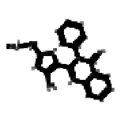 CCOC(=O)Nc1nc(C)c(-c2nc3ccccc3c(=O)n2-c2ccccc2)s1